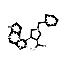 CC(C)[C@@H]1CN(Cc2ccccc2)C[C@@H]1c1nnc2cnc3[nH]ccc3n12